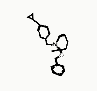 CC1(OCc2ccccc2)CCCCN1CC1CCC(C2CC2)CC1